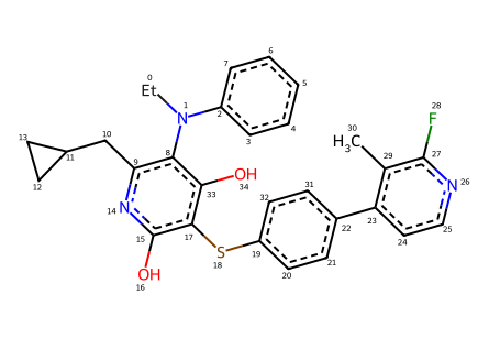 CCN(c1ccccc1)c1c(CC2CC2)nc(O)c(Sc2ccc(-c3ccnc(F)c3C)cc2)c1O